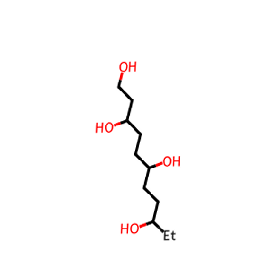 [CH2]CC(O)CCC(O)CCC(O)CCO